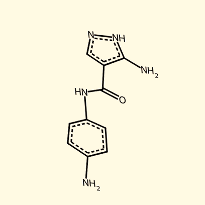 Nc1ccc(NC(=O)c2cn[nH]c2N)cc1